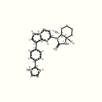 O=C1N[C@H]2CCCC[C@@H]2N1c1ccn2ncc(-c3ccc(-c4ncc[nH]4)cc3)c2n1